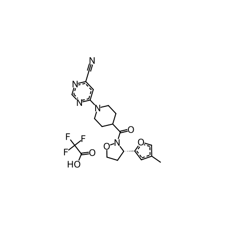 Cc1coc([C@@H]2CCON2C(=O)C2CCN(c3cc(C#N)ncn3)CC2)c1.O=C(O)C(F)(F)F